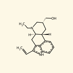 C=Cc1[nH]c2cccc3c2c1C[C@@H]1[C@@H]3C[C@@H](CO)CN1CC